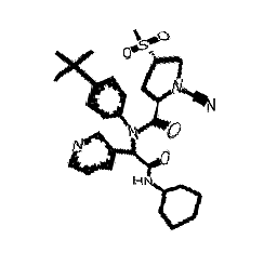 CC(C)(C)c1ccc(N(C(=O)[C@H]2C[C@H](S(C)(=O)=O)CN2C#N)C(C(=O)NC2CCCCC2)c2cccnc2)cc1